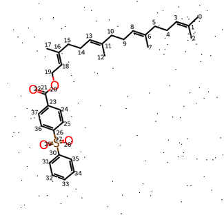 CC(C)=CCC/C(C)=C/CC/C(C)=C/CC/C(C)=C/COC(=O)c1ccc(S(=O)(=O)c2ccccc2)cc1